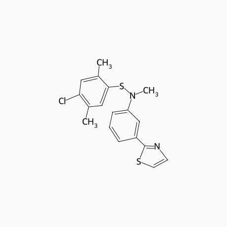 Cc1cc(SN(C)c2cccc(-c3nccs3)c2)c(C)cc1Cl